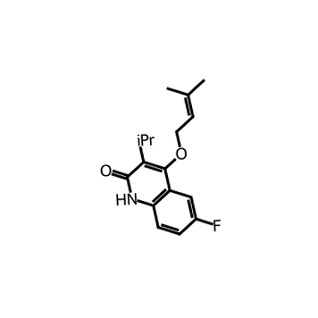 CC(C)=CCOc1c(C(C)C)c(=O)[nH]c2ccc(F)cc12